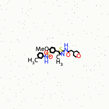 COc1ccc(-c2sc(NC(=O)CC3CCOCC3)nc2C)cc1S(=O)(=O)Nc1cccc(C)c1